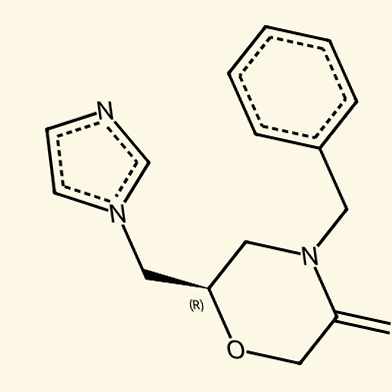 O=C1CO[C@@H](Cn2ccnc2)CN1Cc1ccccc1